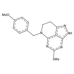 COc1ccc(CN2CCc3n[nH]c4nc(SC)nc2c34)cc1